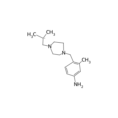 C[C](C)CN1CCN(Cc2ccc(N)cc2C)CC1